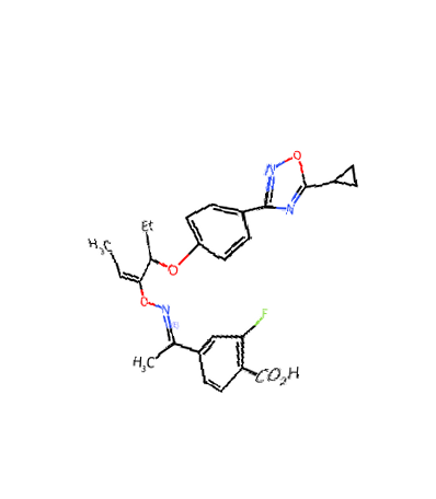 CC=C(O/N=C(\C)c1ccc(C(=O)O)c(F)c1)C(CC)Oc1ccc(-c2noc(C3CC3)n2)cc1